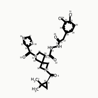 CC1(C)C[C@@H]1C(=O)N1CC2(CN(C(=O)c3cncs3)C[C@@H]2C(=O)NNC(=O)Cc2ccc(Cl)c(Cl)c2)C1